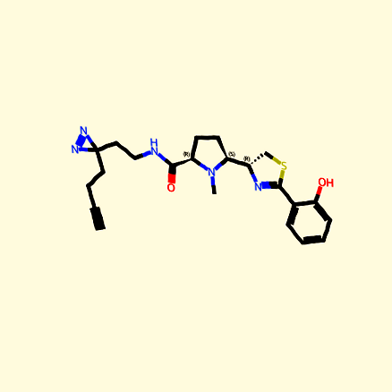 C#CCCC1(CCNC(=O)[C@H]2CC[C@@H]([C@@H]3CSC(c4ccccc4O)=N3)N2C)N=N1